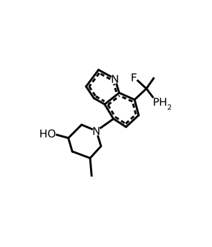 CC1CC(O)CN(c2ccc(C(C)(F)P)c3ncccc23)C1